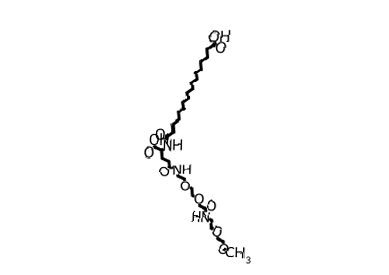 COCCOCCNC(=O)COCCOCCNC(=O)CCC(NC(=O)CCCCCCCCCCCCCCCCC(=O)O)C(=O)O